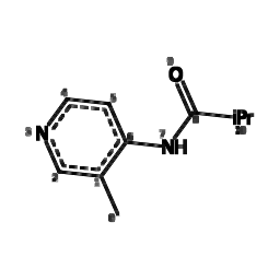 Cc1cnccc1NC(=O)C(C)C